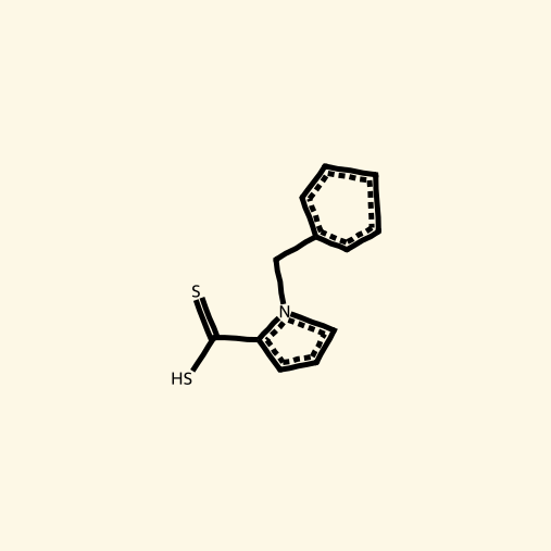 S=C(S)c1cccn1Cc1ccccc1